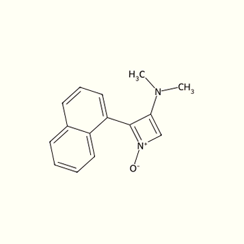 CN(C)C1=C[N+]([O-])=C1c1cccc2ccccc12